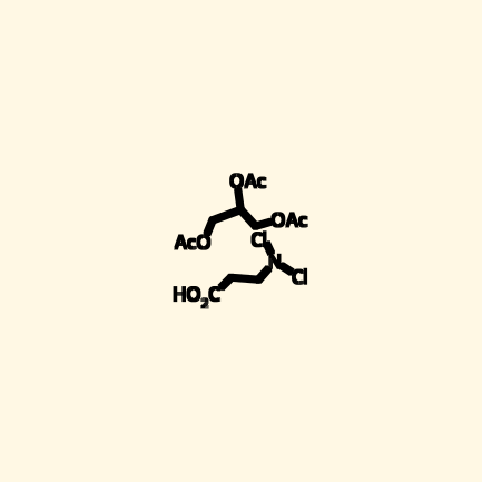 CC(=O)OCC(COC(C)=O)OC(C)=O.O=C(O)CCN(Cl)Cl